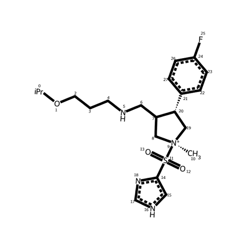 CC(C)OCCCNCC1C[N@+](C)(S(=O)(=O)c2c[nH]cn2)C[C@H]1c1ccc(F)cc1